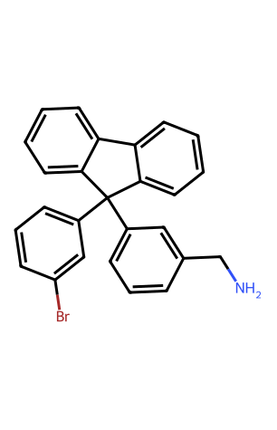 NCc1cccc(C2(c3cccc(Br)c3)c3ccccc3-c3ccccc32)c1